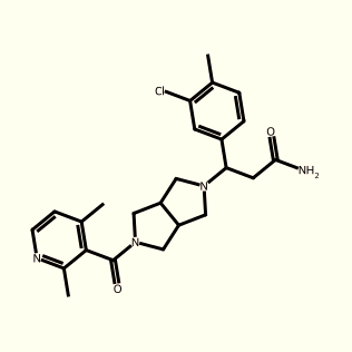 Cc1ccc(C(CC(N)=O)N2CC3CN(C(=O)c4c(C)ccnc4C)CC3C2)cc1Cl